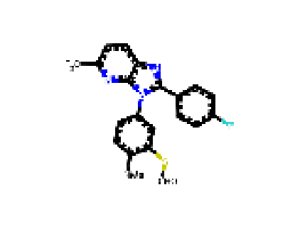 CNc1ccc(-n2c(-c3ccc(F)cc3)nc3ccc(C(F)(F)F)nc32)cc1SC=O